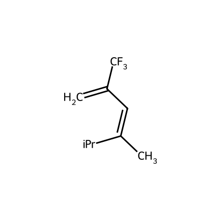 C=C(/C=C(/C)C(C)C)C(F)(F)F